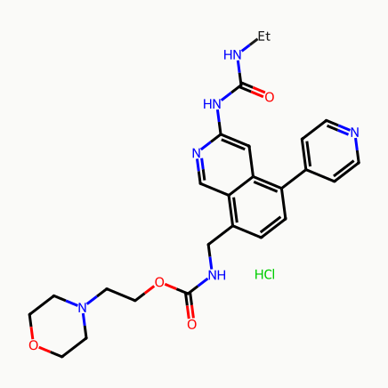 CCNC(=O)Nc1cc2c(-c3ccncc3)ccc(CNC(=O)OCCN3CCOCC3)c2cn1.Cl